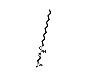 CCCCCCCCCCCCOPOCCN(C)C